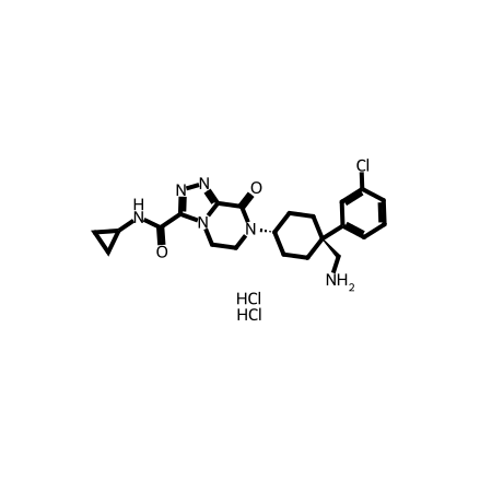 Cl.Cl.NC[C@]1(c2cccc(Cl)c2)CC[C@@H](N2CCn3c(C(=O)NC4CC4)nnc3C2=O)CC1